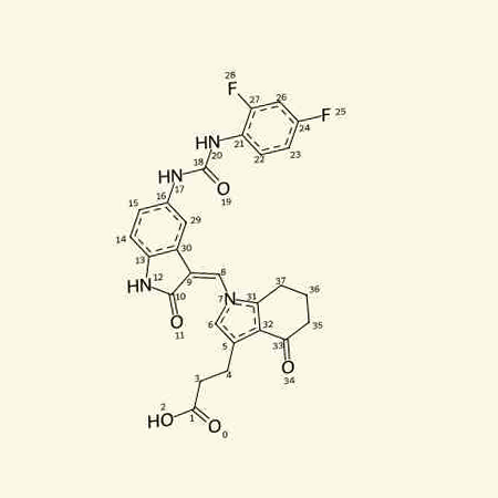 O=C(O)CCc1cn(C=C2C(=O)Nc3ccc(NC(=O)Nc4ccc(F)cc4F)cc32)c2c1C(=O)CCC2